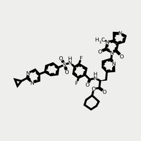 Cn1c(=O)n(-c2ccc(C[C@H](NC(=O)c3cc(F)c(NS(=O)(=O)c4ccc(-c5cnc(C6CC6)nc5)cc4)cc3F)C(=O)OC3CCCCC3)cn2)c(=O)c2ccncc21